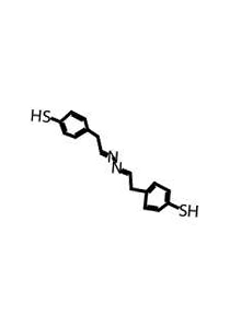 Sc1ccc(C/C=N/N=C/Cc2ccc(S)cc2)cc1